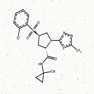 N#CC1(NC(=O)[C@@H]2C[C@@H](S(=O)(=O)c3ccccc3Cl)CN2c2nnc(C(F)(F)F)s2)CC1